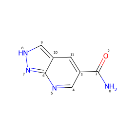 NC(=O)c1cnc2n[nH]cc2c1